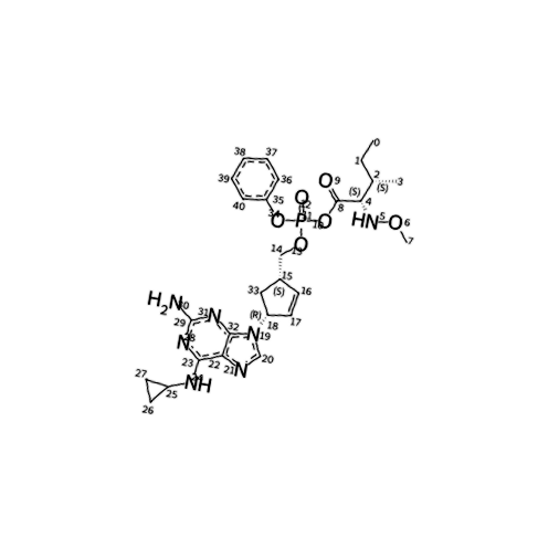 CC[C@H](C)[C@H](NOC)C(=O)OP(=O)(OC[C@@H]1C=C[C@H](n2cnc3c(NC4CC4)nc(N)nc32)C1)Oc1ccccc1